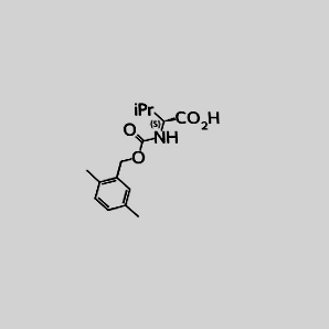 Cc1ccc(C)c(COC(=O)N[C@H](C(=O)O)C(C)C)c1